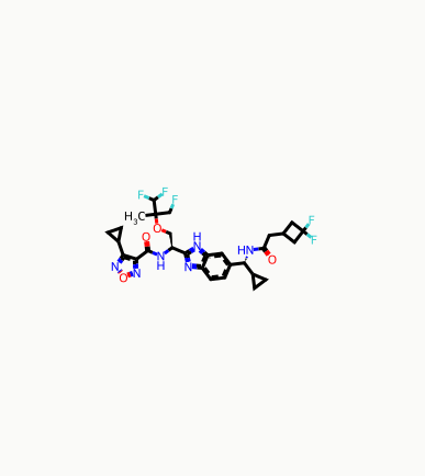 CC(CF)(OC[C@H](NC(=O)c1nonc1C1CC1)c1nc2ccc([C@H](NC(=O)CC3CC(F)(F)C3)C3CC3)cc2[nH]1)C(F)F